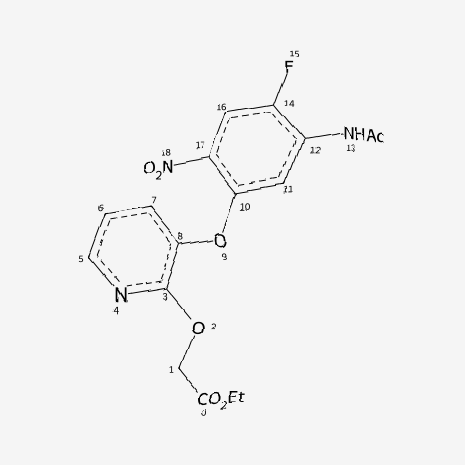 CCOC(=O)COc1ncccc1Oc1cc(NC(C)=O)c(F)cc1[N+](=O)[O-]